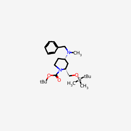 CN(Cc1ccccc1)[C@H]1CCN(C(=O)OC(C)(C)C)[C@@H](CO[Si](C)(C)C(C)(C)C)C1